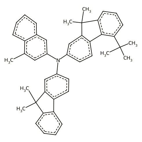 Cc1cc(N(c2ccc3c(c2)C(C)(C)c2ccccc2-3)c2ccc3c(c2)C(C)(C)c2cccc(C(C)(C)C)c2-3)cc2ccccc12